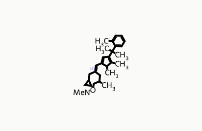 CNOCC(C)C/C(=C\C1=CC(C(C)(C)c2ccccc2C)=C(C)C1C)CC1CC1